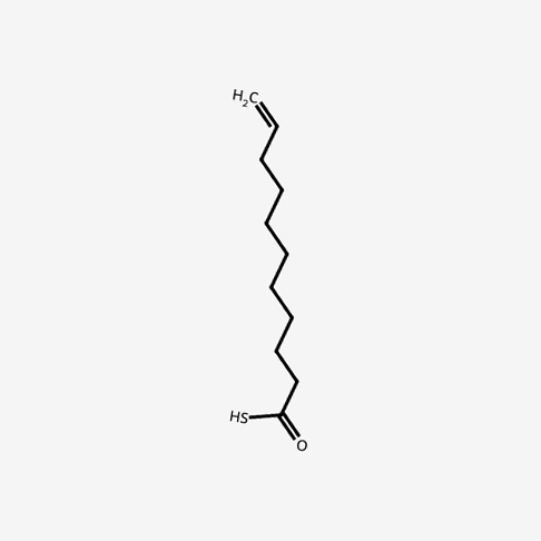 C=CCCCCCCCCC(=O)S